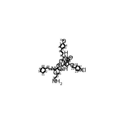 COc1ccc(/C=C/C[C@@H](NS(C)(=O)=O)C(=O)N2C[C@H](OCc3ccc(Cl)cc3)C[C@H]2C(=O)N[C@@H](CCCCN)C(=O)C(=O)NCCc2ccccc2)cc1